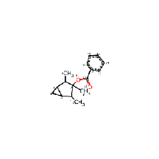 CC1C2CC2C(C)C1(C)OC(=O)c1ccccc1